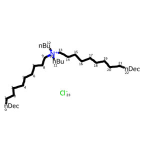 CCCCCCCCCCCCCCCCCCC[N+](CCCC)(CCCC)CCCCCCCCCCCCCCCCCCC.[Cl-]